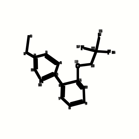 CCc1ccc(-c2ccccc2OCC(F)(F)F)nc1